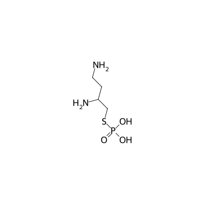 NCCC(N)CSP(=O)(O)O